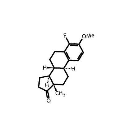 COc1ccc2c(c1F)CC[C@@H]1[C@@H]2CC[C@]2(C)C(=O)CC[C@@H]12